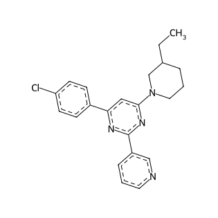 CCC1CCCN(c2cc(-c3ccc(Cl)cc3)nc(-c3cccnc3)n2)C1